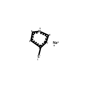 [Na+].[S-]c1ccncc1